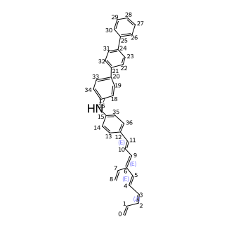 C=C\C=C/C=C/C(C=C)=C/C=C/c1ccc(Nc2ccc(-c3ccc(-c4ccccc4)cc3)cc2)cc1